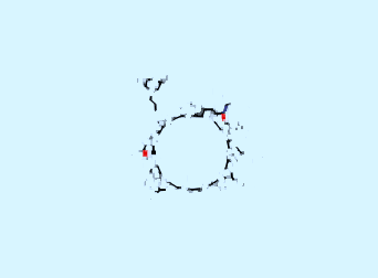 C/C=C/C[C@@H](C)[C@@H](O)[C@H]1C(=O)N[C@@H](CC)C(=O)N(C)[C@H](CSCCCN(CC(C)C)CC(C)(C)C)C(=O)N(C)[C@@H](CC(C)(C)O)C(=O)N[C@@H](C(C)C)C(=O)N(C)[C@@H](CC(C)C)C(=O)N[C@@H](C)C(=O)N[C@H](C)C(=O)N(C)[C@@H](CC(C)C)C(=O)N(C)[C@@H](CC(C)C)C(=O)N(C)[C@@H](C(C)C)C(=O)N1C